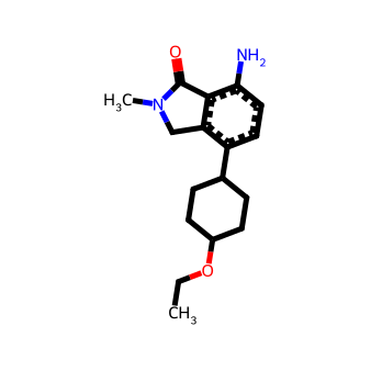 CCOC1CCC(c2ccc(N)c3c2CN(C)C3=O)CC1